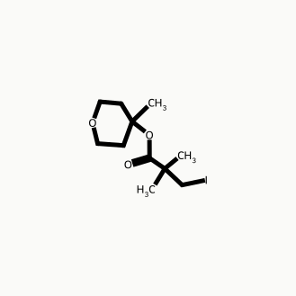 CC1(OC(=O)C(C)(C)CI)CCOCC1